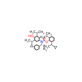 CC(C)c1cc(N(C(=O)Oc2c(C(C)C)cccc2C(C)C2CC2)[C@H](C)c2ccccc2)cc(C(C)C2CC2)c1O